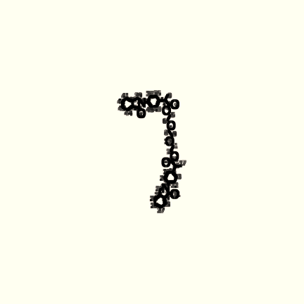 CC(C(=O)OCCOCCOCCOC(=O)C(C)c1ccc(N2Cc3ccccc3C2=O)cc1)c1ccc(N2Cc3ccccc3C2=O)cc1